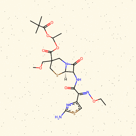 CCON=C(C(=O)NC1C(=O)N2CC(COC)(C(=O)OC(C)OC(=O)C(C)(C)C)CS[C@H]12)c1csc(N)n1